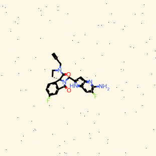 C#CCN1CC[C@@]2(C1=O)c1ccc(F)cc1C(=O)N2Cc1cc2nc(N)c(F)cc2[nH]1